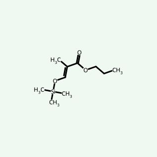 CCCOC(=O)C(C)=CO[Si](C)(C)C